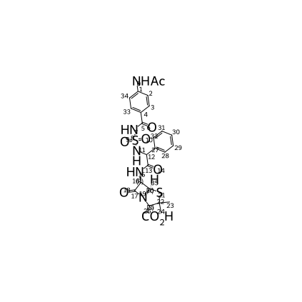 CC(=O)Nc1ccc(C(=O)NS(=O)(=O)NC(C(=O)N[C@@H]2C(=O)N3[C@@H]2SC(C)(C)[C@@H]3C(=O)O)c2ccccc2)cc1